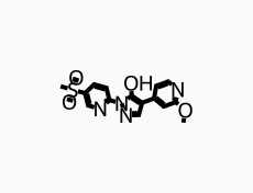 COc1cc(-c2cnn(-c3ccc(S(C)(=O)=O)cn3)c2O)ccn1